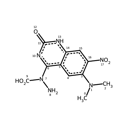 CN(C)c1cc2c(N(N)C(=O)O)nc(=O)[nH]c2cc1[N+](=O)[O-]